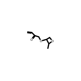 C=CC(=O)COC1COC1C